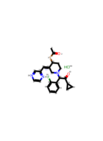 CC(=O)SC1CCN(C(C(=O)C2CC2)c2ccccc2F)C/C1=C\c1cnccn1.Cl